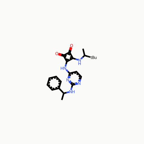 CC(Nc1nccc(Nc2c(NC(C)C(C)(C)C)c(=O)c2=O)n1)c1ccccc1